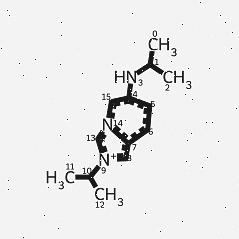 CC(C)Nc1ccc2c[n+](C(C)C)cn2c1